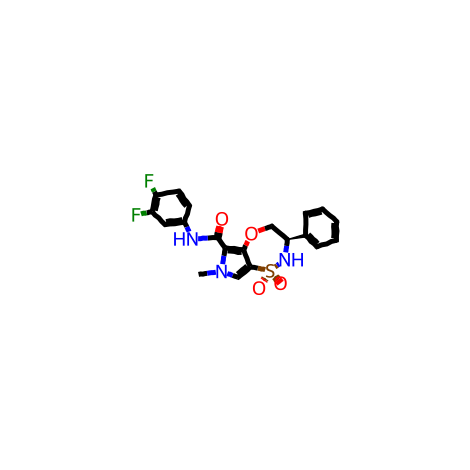 Cn1cc2c(c1C(=O)Nc1ccc(F)c(F)c1)OC[C@@H](c1ccccc1)NS2(=O)=O